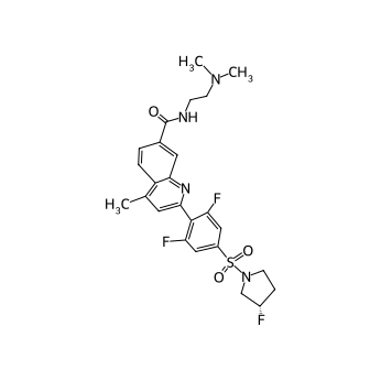 Cc1cc(-c2c(F)cc(S(=O)(=O)N3CC[C@H](F)C3)cc2F)nc2cc(C(=O)NCCN(C)C)ccc12